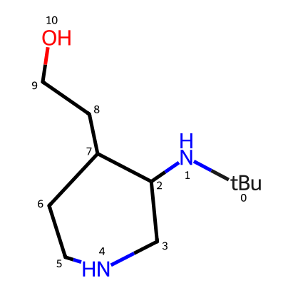 CC(C)(C)NC1CNCCC1CCO